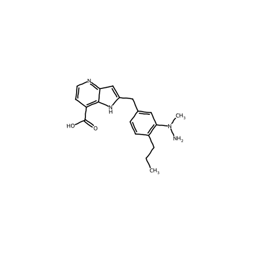 CCCc1ccc(Cc2cc3nccc(C(=O)O)c3[nH]2)cc1N(C)N